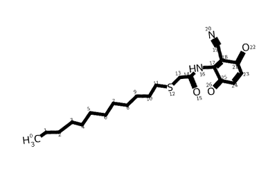 CCCCCCCCCCCCSCC(=O)NC1=C(C#N)C(=O)C=CC1=O